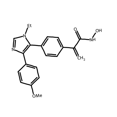 C=C(C(=O)NO)c1ccc(-c2c(-c3ccc(OC)cc3)ncn2CC)cc1